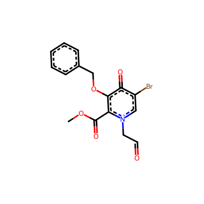 COC(=O)c1c(OCc2ccccc2)c(=O)c(Br)cn1CC=O